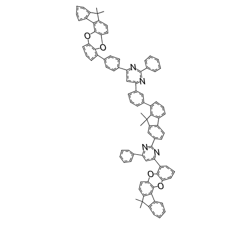 CC1(C)c2ccccc2-c2c1ccc1c2Oc2cccc(-c3ccc(-c4cc(-c5cccc(-c6cccc7c6C(C)(C)c6cc(-c8nc(-c9ccccc9)cc(-c9cccc%10c9Oc9ccc%11c(c9O%10)-c9ccccc9C%11(C)C)n8)ccc6-7)c5)nc(-c5ccccc5)n4)cc3)c2O1